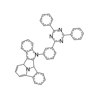 C1=CC2c3c(n(-c4cccc(-c5nc(-c6ccccc6)nc(-c6ccccc6)n5)c4)c4ccccc34)C3c4ccccc4C(=C1)N23